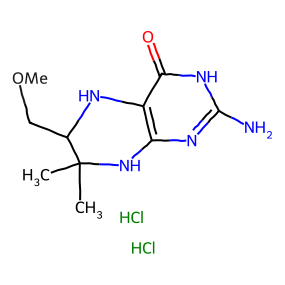 COCC1Nc2c(nc(N)[nH]c2=O)NC1(C)C.Cl.Cl